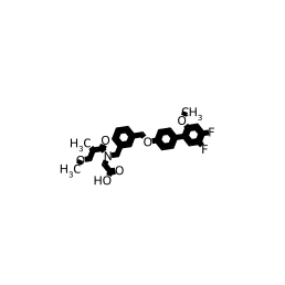 COCC(C)C(=O)N(CC(=O)O)Cc1cccc(COc2ccc(-c3cc(F)c(F)cc3OC)cc2)c1